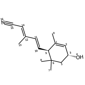 CC1=C[C@H](O)CC(C)(C)[C@H]1/C=C/C(C)=C/C#N